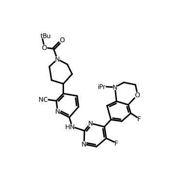 CC(C)N1CCOc2c(F)cc(-c3nc(Nc4ccc(C5CCN(C(=O)OC(C)(C)C)CC5)c(C#N)n4)ncc3F)cc21